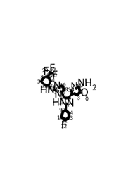 COc1cc(-c2nc(-c3ccc(F)cc3)[nH]c2-c2ccnc(NC3C=C(C(F)(F)F)C=CC3)n2)cnc1N